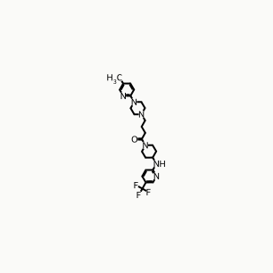 Cc1ccc(N2CCN(CCCC(=O)N3CCC(Nc4ccc(C(F)(F)F)cn4)CC3)CC2)nc1